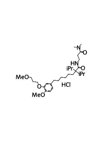 COCCCOc1cc(CCCCCCC(C(=O)NCCC(=O)N(C)C)(C(C)C)C(C)C)ccc1OC.Cl